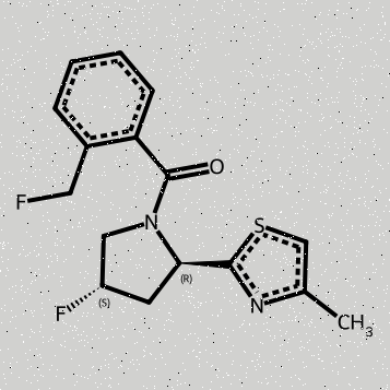 Cc1csc([C@H]2C[C@H](F)CN2C(=O)c2ccccc2CF)n1